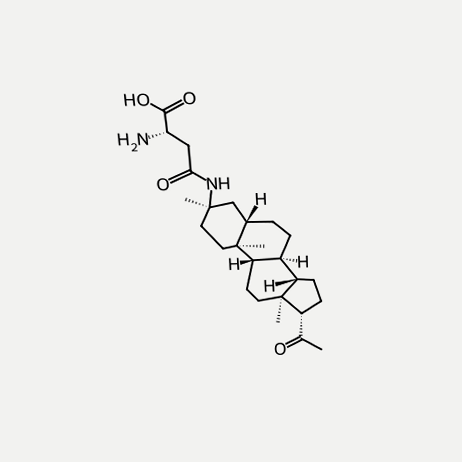 CC(=O)[C@H]1CC[C@H]2[C@@H]3CC[C@H]4C[C@](C)(NC(=O)C[C@H](N)C(=O)O)CC[C@]4(C)[C@H]3CC[C@]12C